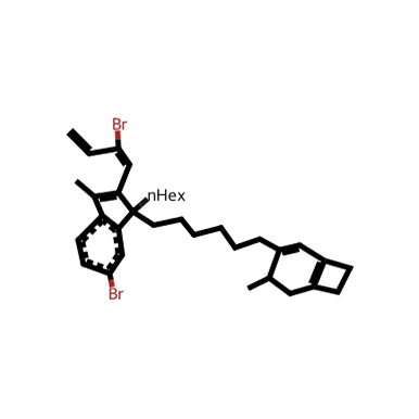 C=C/C(Br)=C\C1=C(C)c2ccc(Br)cc2C1(CCCCCC)CCCCCCC1=CC2=C(CC2)CC1C